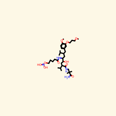 COCCCOc1cc(CC(CC(NC(=O)CCCCON(O)O)C(O)CC(C(=O)NCC(C)(C)C(N)=O)C(C)C)C(C)C)ccc1OC